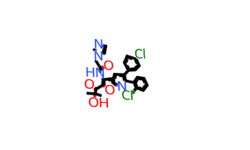 CC(C)(O)C(=O)c1oc2nc(-c3ccccc3Cl)c(-c3ccc(Cl)cc3)cc2c1NC(=O)Cn1ccnc1